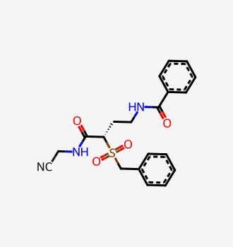 N#CCNC(=O)[C@H](CCNC(=O)c1ccccc1)S(=O)(=O)Cc1ccccc1